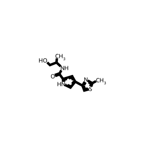 Cc1nc(-c2c[nH]c(C(=O)NC(C)CO)c2)cs1